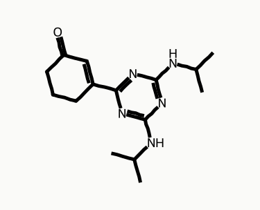 CC(C)Nc1nc(NC(C)C)nc(C2=CC(=O)CCC2)n1